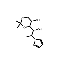 CC1(C)OC[C@@H](O)C([C@@H](O)C(F)n2cccn2)O1